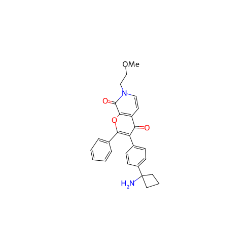 COCCn1ccc2c(=O)c(-c3ccc(C4(N)CCC4)cc3)c(-c3ccccc3)oc2c1=O